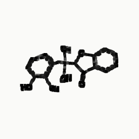 O=C1c2ccccc2OC1C(O)(O)c1cccc(O)c1O